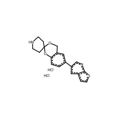 Cl.Cl.c1cc2cc(-c3ccc4c(c3)COC3(CCNCC3)O4)cnc2s1